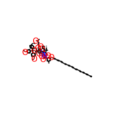 C#CC#CC#CC#CC#CC#CC#CC#CC#CC#CC#COc1cc(C)cc(C(=O)n2c(=O)ccn([C@@H]3O[C@H](COC(c4ccccc4)(c4ccc(OC)cc4)c4ccc(OC)cc4)[C@H](OC(=O)CCC(C)=O)C3O[Si](C)(C)C(C)(C)C)c2=O)c1